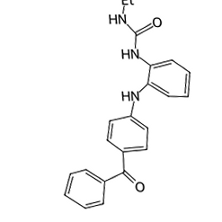 CCNC(=O)Nc1ccccc1Nc1ccc(C(=O)c2ccccc2)cc1